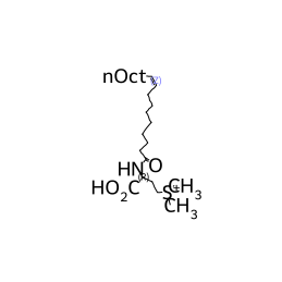 CCCCCCCC/C=C\CCCCCCCC(=O)N[C@H](CC[S+](C)C)C(=O)O